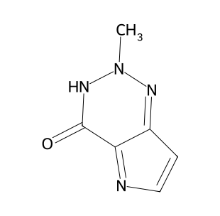 Cn1nc2ccnc-2c(=O)[nH]1